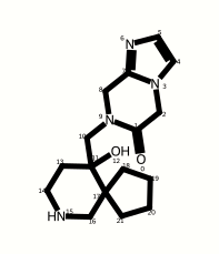 O=C1Cn2ccnc2CN1CC1(O)CCNCC12CCCC2